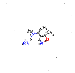 CCN(CCN)C(C)c1cnoc1C